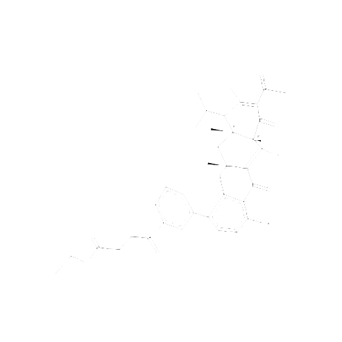 CCOC(=O)CCC(=O)c1cccc(-c2ccc(O)c3c2C[C@]2(C)C[C@]4(C)C(C(C)C)C(O)=C(C(C)=O)C(=O)[C@]4(O)C(O)=C2C3=O)c1